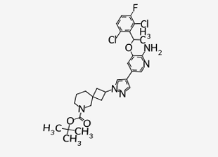 CC(Oc1cc(-c2cnn(C3CC4(CCCN(C(=O)OC(C)(C)C)C4)C3)c2)cnc1N)c1c(Cl)ccc(F)c1Cl